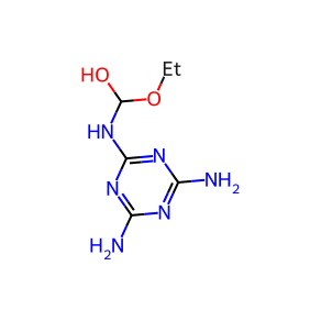 CCOC(O)Nc1nc(N)nc(N)n1